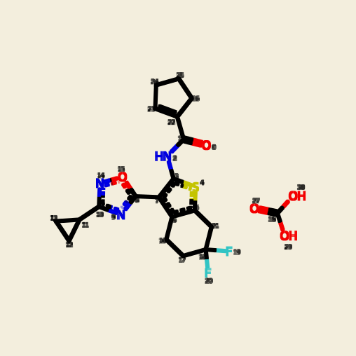 O=C(Nc1sc2c(c1-c1nc(C3CC3)no1)CCC(F)(F)C2)C1=CCCC1.O=C(O)O